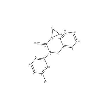 [CH2]c1cccc(N(Cc2ccccc2)C(=O)C2CC2)c1